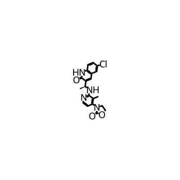 Cc1c(N2CCOC2=O)ccnc1N[C@@H](C)c1cc2cc(Cl)ccc2[nH]c1=O